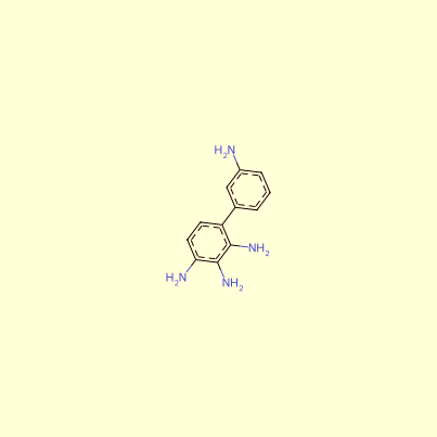 Nc1cccc(-c2ccc(N)c(N)c2N)c1